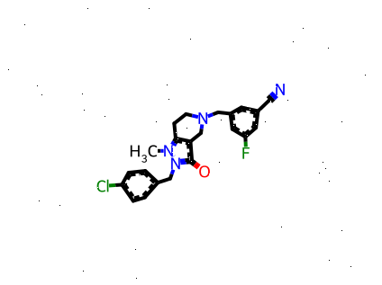 Cn1c2c(c(=O)n1Cc1ccc(Cl)cc1)CN(Cc1cc(F)cc(C#N)c1)CC2